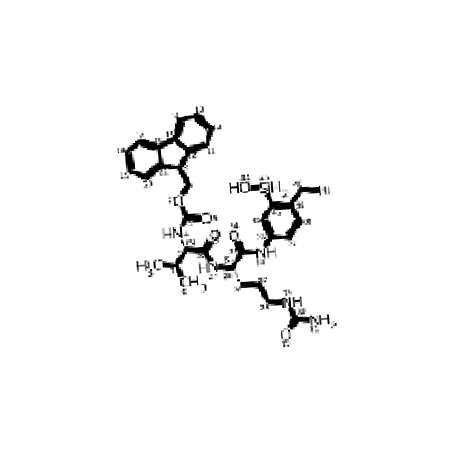 CC(C)[C@H](NC(=O)OCC1c2ccccc2-c2ccccc21)C(=O)N[C@@H](CCCNC(N)=O)C(=O)Nc1ccc(CI)c([SiH2]O)c1